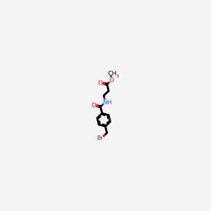 COC(=O)CCNC(=O)c1ccc(CBr)cc1